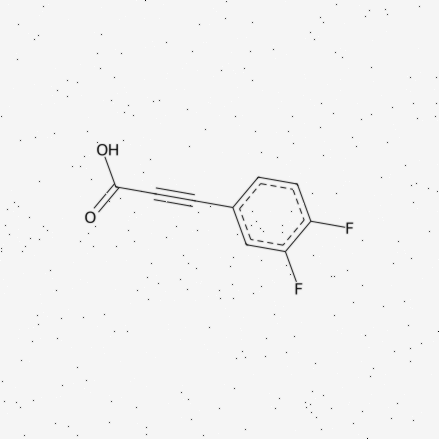 O=C(O)C#Cc1ccc(F)c(F)c1